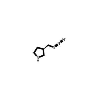 [N-]=[N+]=NC[C@@H]1CCNC1